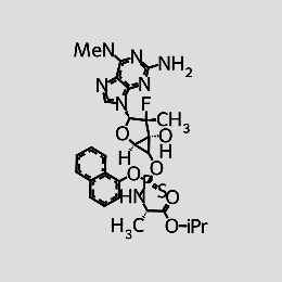 CNc1nc(N)nc2c1ncn2[C@@H]1O[C@@H]2C(OP(=S)(N[C@@H](C)C(=O)OC(C)C)Oc3cccc4ccccc34)[C@]2(O)[C@@]1(C)F